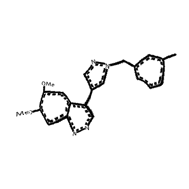 COc1cc2nncc(-c3cnn(Cc4cccc(C)c4)c3)c2cc1OC